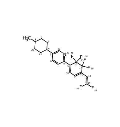 CC1CCC(c2ccc(C3=CC=C(C=C(F)F)C(F)(F)C3(F)F)nc2)CC1